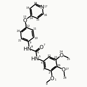 COc1cc(NC(=O)Nc2ccc(Oc3ccncc3)cc2)cc(OC)c1OC